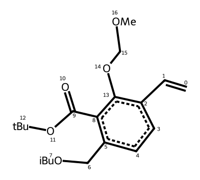 C=Cc1ccc(COCC(C)C)c(C(=O)OC(C)(C)C)c1OCOC